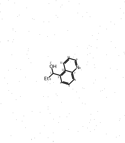 CCC(O)c1cccc2ncccc12